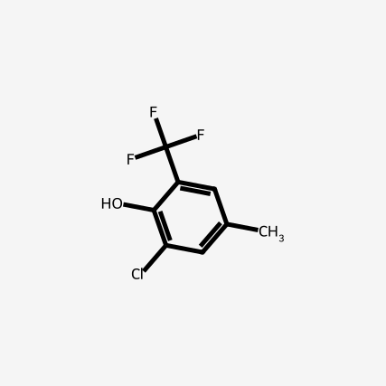 Cc1cc(Cl)c(O)c(C(F)(F)F)c1